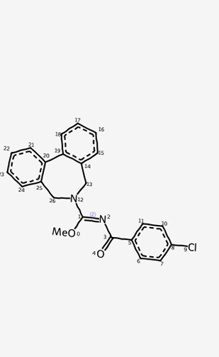 CO/C(=N\C(=O)c1ccc(Cl)cc1)N1Cc2ccccc2-c2ccccc2C1